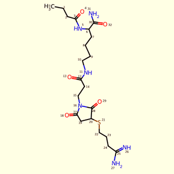 CCCC(=O)NC(CCCCNC(=O)CCN1C(=O)CC(SCCCC(=N)N)C1=O)C(N)=O